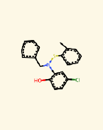 Cc1ccccc1SN(Cc1ccccc1)c1cc(Cl)ccc1O